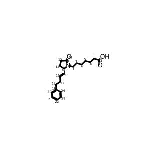 O=C(O)CCCCCCN1C(=O)CC[C@@H]1/C=C/CCc1ccccc1